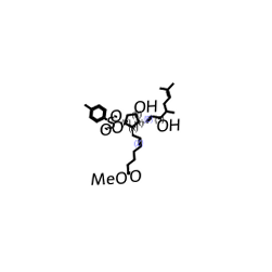 COC(=O)CCC/C=C\C[C@@H]1[C@@H](/C=C/[C@@H](O)C(C)CC=C(C)C)[C@H](O)C[C@H]1OS(=O)(=O)c1ccc(C)cc1